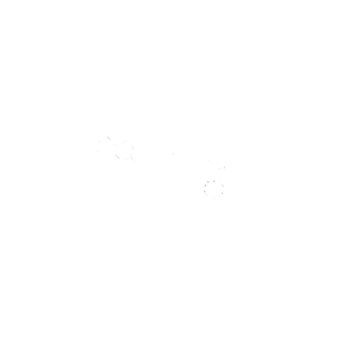 C=C(SCCCOCCCOc1cc2ccccc2sc1=O)c1ccccc1